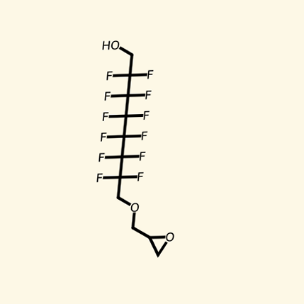 OCC(F)(F)C(F)(F)C(F)(F)C(F)(F)C(F)(F)C(F)(F)COCC1CO1